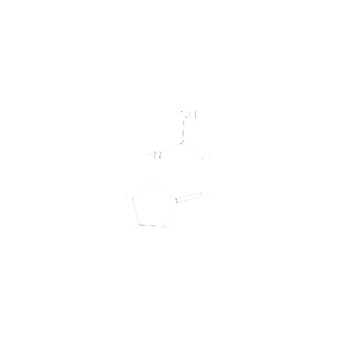 NC(=O)N[C@H]1CCOC1=O